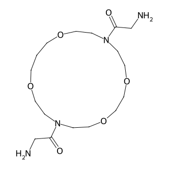 NCC(=O)N1CCOCCCOCCN(C(=O)CN)CCOCCOCC1